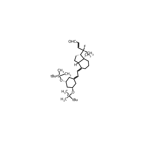 CC(C)(C)[Si](C)(C)O[C@@H]1CC(=C/C=C2\CCC[C@@]3(C)[C@H]2CC[C@@H]3[C@@](C)(F)/C=C/C=O)C[C@@H](O[Si](C)(C)C(C)(C)C)C1